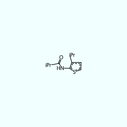 CC(C)C(=O)Nc1sccc1C(C)C